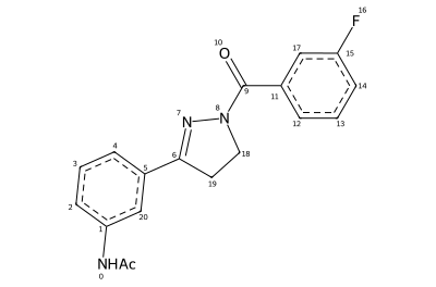 CC(=O)Nc1cccc(C2=NN(C(=O)c3cccc(F)c3)CC2)c1